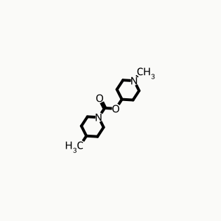 CC1CCN(C(=O)OC2CCN(C)CC2)CC1